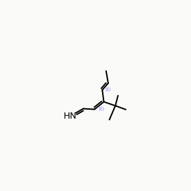 C/C=C/C(=C\C=N)C(C)(C)C